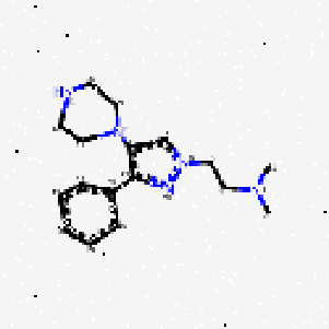 CN(C)CCn1cc(N2CCNCC2)c(-c2ccccc2)n1